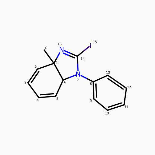 CC12C=CC=CC1N(c1ccccc1)C(I)=N2